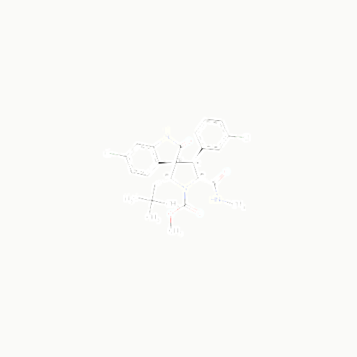 CNC(=O)[C@H]1[C@H](c2cccc(Cl)c2)[C@@]2(C(=O)Nc3cc(Cl)ccc32)[C@@H](CC(C)(C)C)N1C(=O)OC